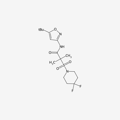 CC(C)(C)c1cc(NC(=O)C(C)(C)S(=O)(=O)N2CCC(F)(F)CC2)no1